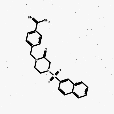 N=C(N)c1ccc(CN2CCN(S(=O)(=O)c3ccc4ccccc4c3)CC2=O)cc1